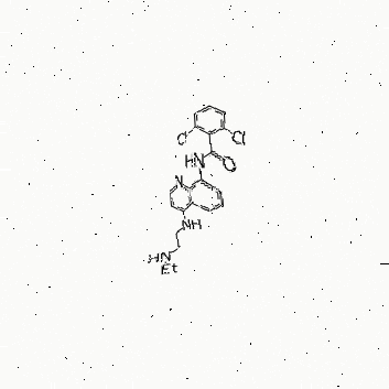 CCNCCNc1ccnc2c(NC(=O)c3c(Cl)cccc3Cl)cccc12